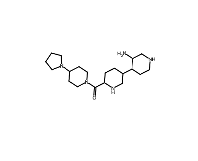 NC1CNCCC1C1CCC(C(=O)N2CCC(N3CCCC3)CC2)NC1